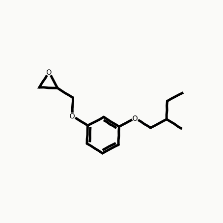 CCC(C)COc1cccc(OCC2CO2)c1